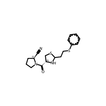 N#C[C@@H]1CCCN1C(=O)[C@@H]1CSC(CCSc2ccccc2)N1